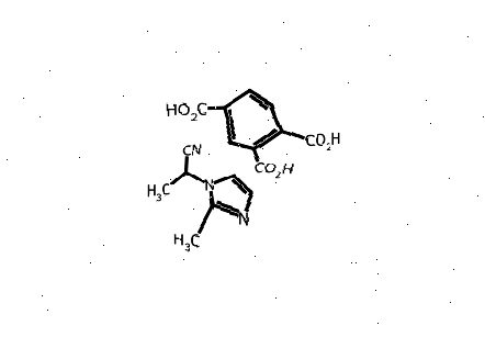 Cc1nccn1C(C)C#N.O=C(O)c1ccc(C(=O)O)c(C(=O)O)c1